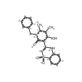 Cc1c(O)c(C2=NS(=O)(=O)c3ccccc3N2)c(=O)n(Cc2ccccc2)c1C